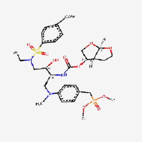 CCOP(=O)(Cc1ccc(N(C)C[C@H](NC(=O)O[C@H]2CO[C@H]3OCC[C@H]32)[C@H](O)CN(CC(C)C)S(=O)(=O)c2ccc(OC)cc2)cc1)OCC